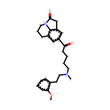 COc1ccccc1CCN(C)CCCCC(=O)c1cc2c3c(c1)CC(=O)N3CCC2